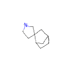 C1CC2(C[N]1)CC1CCC2C1